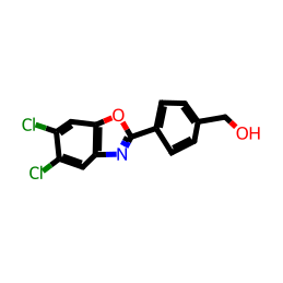 OCc1ccc(-c2nc3cc(Cl)c(Cl)cc3o2)cc1